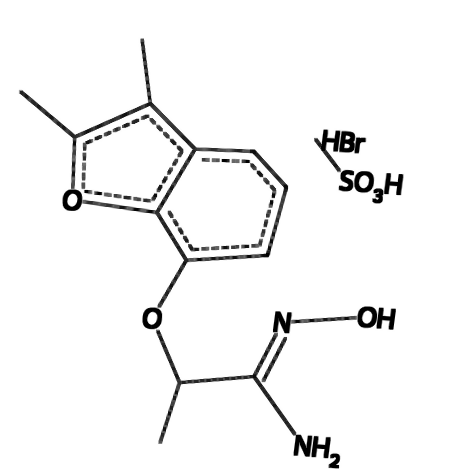 Br.CS(=O)(=O)O.Cc1oc2c(OC(C)C(N)=NO)cccc2c1C